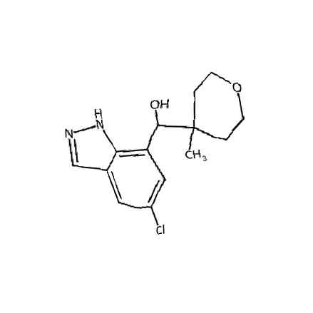 CC1(C(O)c2cc(Cl)cc3cn[nH]c23)CCOCC1